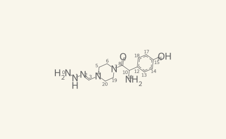 NNN=CN1CCN(C(=O)C(N)c2ccc(O)cc2)CC1